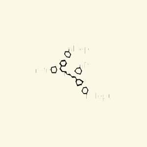 CCCCCCC[C@H]1CC[C@H](c2ccc(C(=CCOCC=C(c3ccc([C@H]4CC[C@H](CCCCCCC)CC4)cc3)[C@H]3CC[C@H](CCC)CC3)[C@H]3CC[C@H](CCC)CC3)cc2)CC1